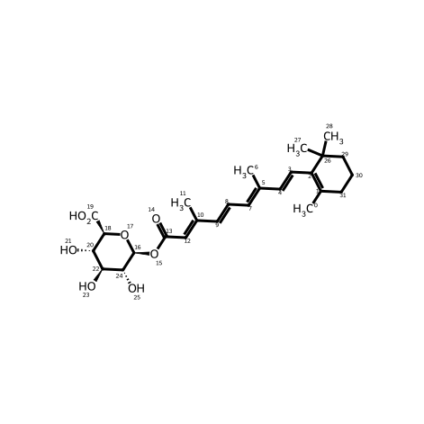 CC1=C(/C=C/C(C)=C/C=C/C(C)=C/C(=O)O[C@@H]2O[C@H](C(=O)O)[C@@H](O)[C@H](O)[C@H]2O)C(C)(C)CCC1